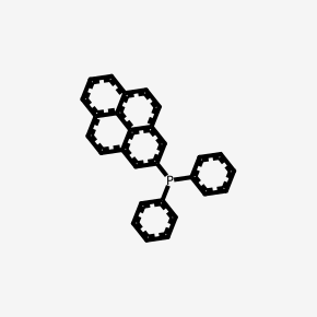 c1ccc(P(c2ccccc2)c2cc3ccc4cccc5ccc(c2)c3c45)cc1